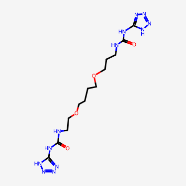 O=C(NCCCOCCCCOCCNC(=O)Nc1nnn[nH]1)Nc1nnn[nH]1